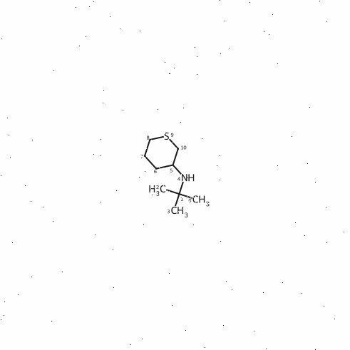 CC(C)(C)NC1CCCSC1